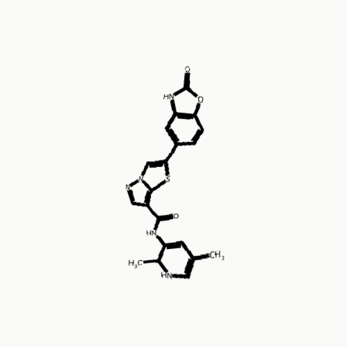 CC1=CNC(C)C(NC(=O)c2cnn3cc(-c4ccc5oc(=O)[nH]c5c4)sc23)=C1